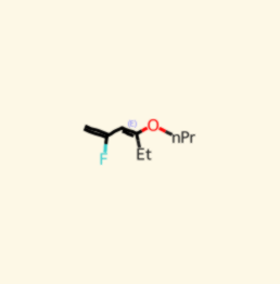 C=C(F)/C=C(\CC)OCCC